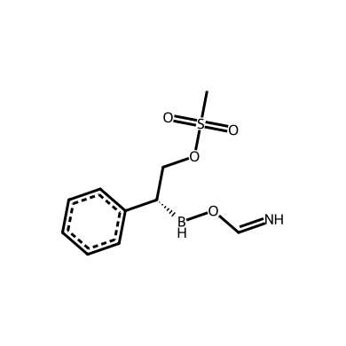 CS(=O)(=O)OC[C@H](BOC=N)c1ccccc1